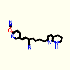 N#COc1ccc(/C=C/C(C#N)CCCCc2ccc3c(n2)NCCC3)cn1